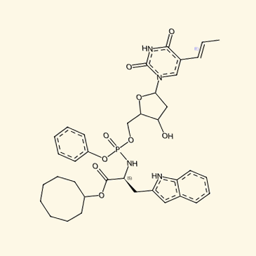 C/C=C/c1cn(C2CC(O)C(COP(=O)(N[C@@H](Cc3cc4ccccc4[nH]3)C(=O)OC3CCCCCCC3)Oc3ccccc3)O2)c(=O)[nH]c1=O